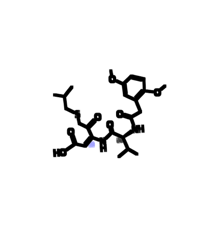 COc1ccc(OC)c(CC(=O)N[C@H](C(=O)N/C(=C/C(=O)O)C(=O)CSCC(C)C)C(C)C)c1